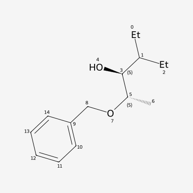 CCC(CC)[C@H](O)[C@H](C)OCc1ccccc1